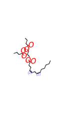 CCCCC/C=C\C/C=C\CCC(=O)OCC(COC(=O)CCC)OC(=O)CCC